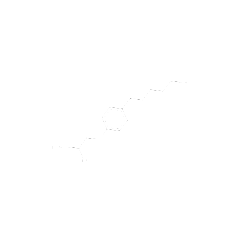 CCCCCCCCCCC(CCCCCCCC)COc1ccc(CCCCCO)cc1